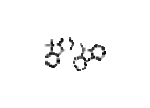 CC1(C)c2ccccc2-c2cc(Cn3c4ccccc4c4ccccc43)ccc21